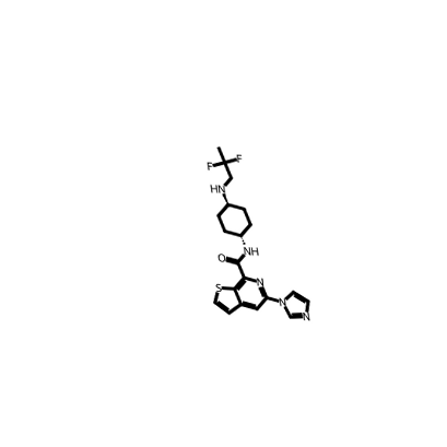 CC(F)(F)CN[C@H]1CC[C@H](NC(=O)c2nc(-n3ccnc3)cc3ccsc23)CC1